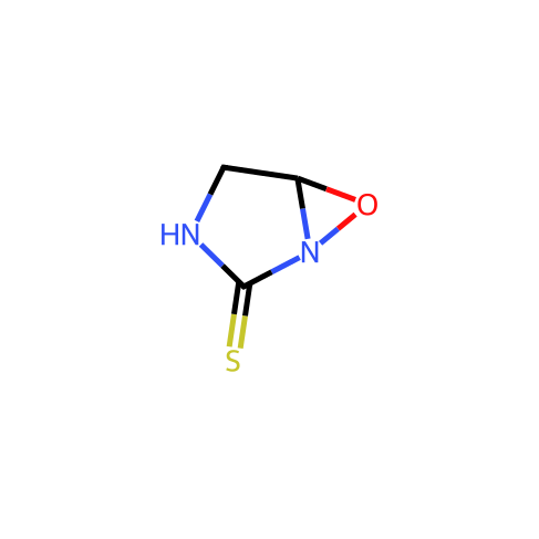 S=C1NCC2ON12